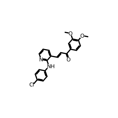 COc1ccc(C(=O)C=Cc2cccnc2Nc2ccc(Cl)cc2)cc1OC